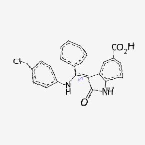 O=C1Nc2ccc(C(=O)O)cc2/C1=C(/Nc1ccc(Cl)cc1)c1ccccc1